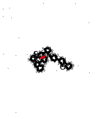 c1ccc(N(c2ccc(-c3ccc4c(c3)oc3ccccc34)cc2)c2ccc(-c3cccc4ccccc34)cc2)c(-c2ccc3c(c2)sc2ccccc23)c1